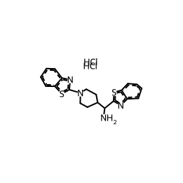 Cl.Cl.NC(c1nc2ccccc2s1)C1CCN(c2nc3ccccc3s2)CC1